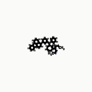 C=Cc1oc2c(c1/C=C\C)C=C=CC=C2N(c1cccc(-c2ccc3c4c(cccc24)-c2ccccc2-3)c1)c1ccccn1